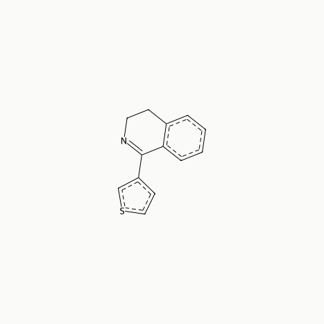 c1ccc2c(c1)CCN=C2c1ccsc1